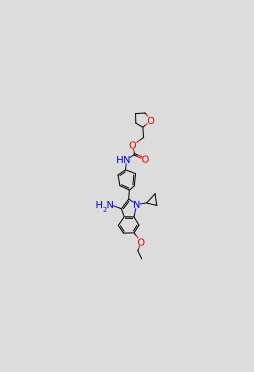 CCOc1ccc2c(N)c(-c3ccc(NC(=O)OCC4CCCO4)cc3)n(C3CC3)c2c1